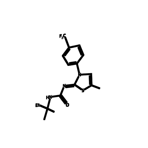 CCC(C)(C)NC(=O)N=c1sc(C)cn1-c1ccc(C(F)(F)F)cc1